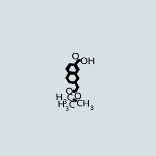 CC(C)(C)OC(=O)CC1CCc2ccc(C(=O)O)cc2C1